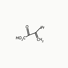 C=C(C(=O)C(=O)O)C(C)C